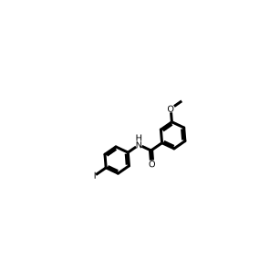 COc1cccc(C(=O)Nc2ccc(I)cc2)c1